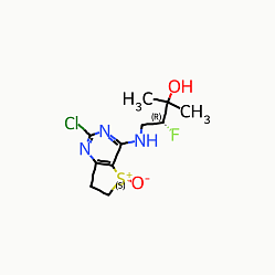 CC(C)(O)[C@H](F)CNc1nc(Cl)nc2c1[S@+]([O-])CC2